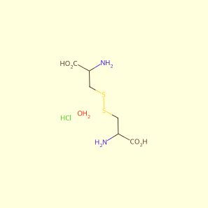 Cl.NC(CSSCC(N)C(=O)O)C(=O)O.O